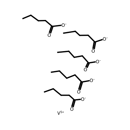 CCCCC(=O)[O-].CCCCC(=O)[O-].CCCCC(=O)[O-].CCCCC(=O)[O-].CCCCC(=O)[O-].[V+5]